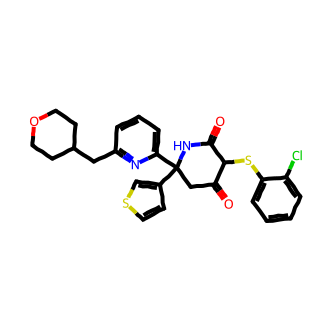 O=C1CC(c2ccsc2)(c2cccc(CC3CCOCC3)n2)NC(=O)C1Sc1ccccc1Cl